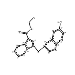 CCOC(=O)c1nc(Cc2ccc3ncc(Cl)cc3c2)n2ccccc12